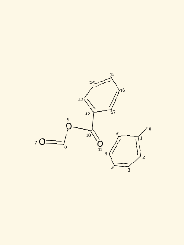 Cc1ccccc1.O=COC(=O)c1ccccc1